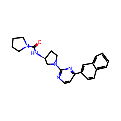 O=C(N[C@H]1CCN(c2nccc(-c3ccc4ccccc4c3)n2)C1)N1CCCC1